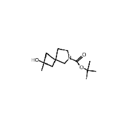 CC1(O)CC2(CCN(C(=O)OC(C)(C)C)C2)C1